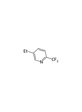 CCc1ccc(C(F)(F)F)nc1